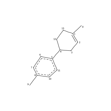 CC1=CCC(c2ccc(C)cc2)CC1